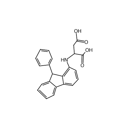 O=C(O)CC(Nc1cccc2c1C(c1ccccc1)c1ccccc1-2)C(=O)O